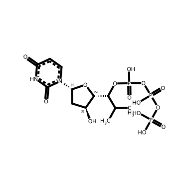 CC(C)C(OP(=O)(O)OP(=O)(O)OP(=O)(O)O)[C@H]1O[C@@H](n2ccc(=O)[nH]c2=O)C[C@@H]1O